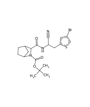 CC(C)(C)OC(=O)N1C2CCC(C2)C1C(=O)NC(C#N)Cc1cc(Br)cs1